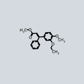 CCOc1cc(C(=CC(=O)OC)c2ccccc2)ccc1OC